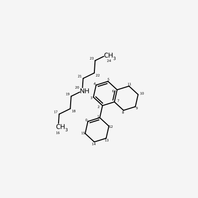 C1=C(c2cccc3c2CCCC3)CCCC1.CCCCNCCCC